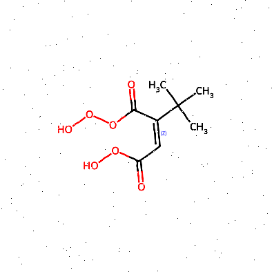 CC(C)(C)/C(=C/C(=O)OO)C(=O)OOO